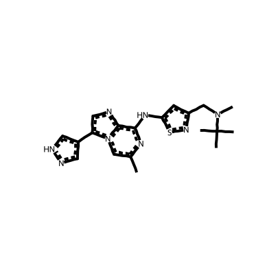 Cc1cn2c(-c3cn[nH]c3)cnc2c(Nc2cc(CN(C)C(C)(C)C)ns2)n1